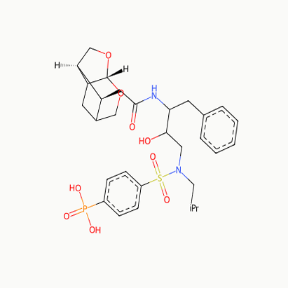 CC(C)CN(CC(O)C(Cc1ccccc1)NC(=O)C[C@H]1C2CO[C@H]3OC[C@@H]1C3C2)S(=O)(=O)c1ccc(P(=O)(O)O)cc1